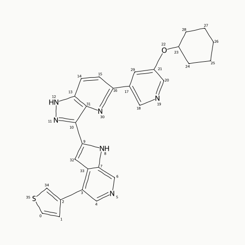 c1cc(-c2cncc3[nH]c(-c4n[nH]c5ccc(-c6cncc(OC7CCCCC7)c6)nc45)cc23)cs1